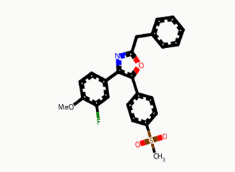 COc1ccc(-c2nc(Cc3ccccc3)oc2-c2ccc(S(C)(=O)=O)cc2)cc1F